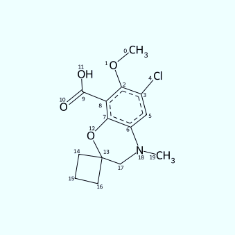 COc1c(Cl)cc2c(c1C(=O)O)OC1(CCC1)CN2C